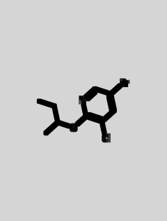 CCC(C)Oc1ncc(Br)cc1Cl